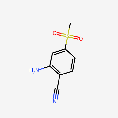 CS(=O)(=O)c1ccc(C#N)c(N)c1